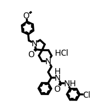 COc1ccc(CN2CCC3(CCN(CCC(NC(=O)Nc4cccc(Cl)c4)c4ccccc4)CC3)C2=O)cc1.Cl